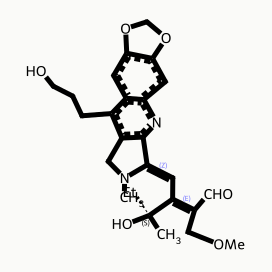 CC[C@](C)(O)C(/C=C1/c2nc3cc4c(cc3c(CCCO)c2CN1C)OCO4)=C(/C=O)COC